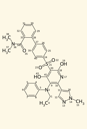 CCN(c1ccccc1)c1c(-c2cnn(C)c2)nc(O)c(S(=O)(=O)c2ccc(-c3ccccc3C(=O)N(C)C)cc2)c1O